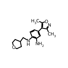 Cc1noc(C)c1-c1ccc(NCC2CCOCC2)c(N)c1